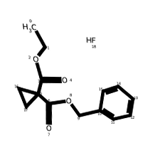 CCOC(=O)C1(C(=O)OCc2ccccc2)CC1.F